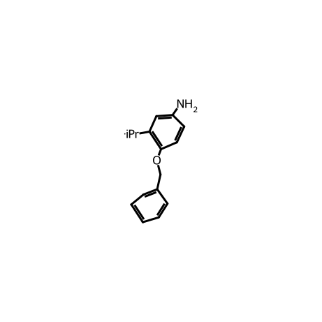 C[C](C)c1cc(N)ccc1OCc1ccccc1